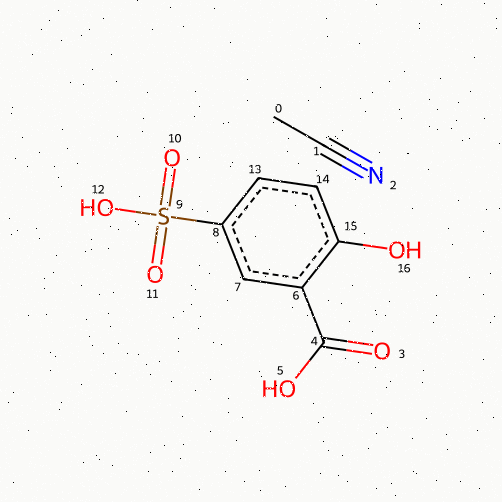 CC#N.O=C(O)c1cc(S(=O)(=O)O)ccc1O